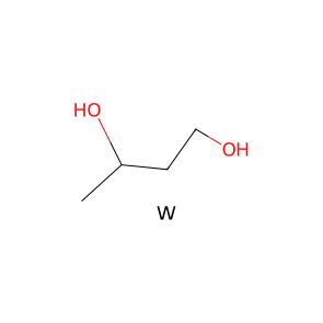 CC(O)CCO.[W]